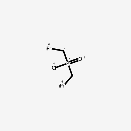 CC(C)CP(=O)(Cl)CC(C)C